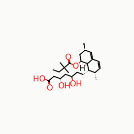 CCC(C)(C)C(=O)O[C@H]1C[C@@H](C)C=C2C=C[C@H](C)[C@H](CCC(O)C[C@H](O)CC(=O)O)[C@H]21